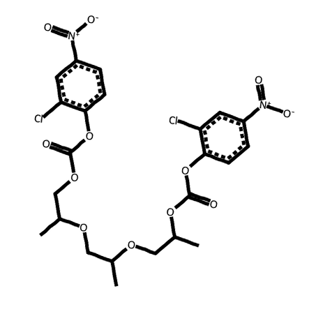 CC(COC(=O)Oc1ccc([N+](=O)[O-])cc1Cl)OCC(C)OCC(C)OC(=O)Oc1ccc([N+](=O)[O-])cc1Cl